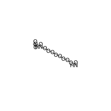 CNC(=O)CCOCCOCCOCCOCCOCCOCCOCCOCCNC(=O)CCN1C(=O)C=CC1=O